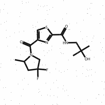 CC1CC(F)(F)CN1C(=O)c1csc(C(=O)NCC(C)(C)O)n1